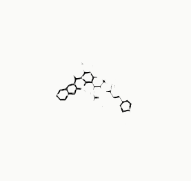 COc1ccc(/C=C/C(=O)OC2C(OC(C)=O)c3c(cc(OC)c4c(=O)c5cc6ccccc6cc5n(C)c34)OC2(C)C)cc1